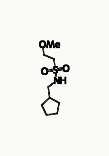 COCCS(=O)(=O)NCC1CCCC1